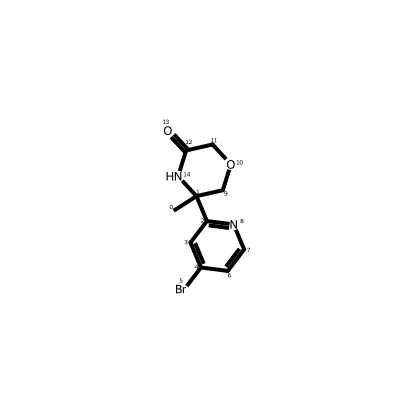 CC1(c2cc(Br)ccn2)COCC(=O)N1